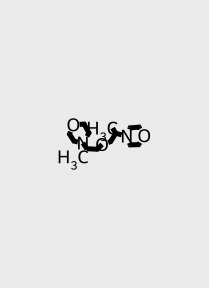 CC(COCC(C)N1CCOCC1)N1CCOCC1